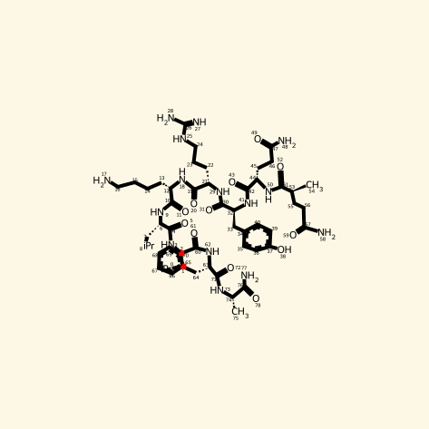 CC(C)C[C@H](NC(=O)[C@H](CC(C)C)NC(=O)[C@H](CCCCN)NC(=O)[C@H](CCCNC(=N)N)NC(=O)[C@H](Cc1ccc(O)cc1)NC(=O)[C@H](CCC(N)=O)NC(=O)[C@@H](C)CCC(N)=O)C(=O)N[C@@H](Cc1ccccc1)C(=O)N[C@@H](C)C(N)=O